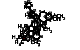 CC[C@]1(O)C[C@H]2CN(CCc3c([nH]c4ccc(-c5nccs5)cc34)[C@@](C(=O)OC)(C3C=C4C(=CC3OC)N(C)[C@H]3[C@@](O)(C(=O)OC)[C@H](OC(C)=O)[C@]5(CC)C=CCN6CC[C@]43[C@@H]65)C2)C1